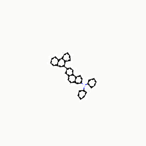 c1ccc(N(c2ccccc2)c2ccc3c(ccc4cc(-c5cc6ccccc6c6ccccc56)ccc43)c2)cc1